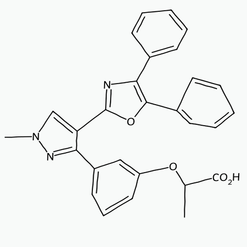 CC(Oc1cccc(-c2nn(C)cc2-c2nc(-c3ccccc3)c(-c3ccccc3)o2)c1)C(=O)O